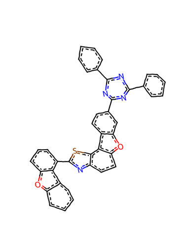 c1ccc(-c2nc(-c3ccccc3)nc(-c3ccc4c(c3)oc3ccc5nc(-c6cccc7oc8ccccc8c67)sc5c34)n2)cc1